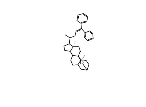 CC(CC=C(c1ccccc1)c1ccccc1)C1CCC2C3CCC4CC5CC[C@]4(C)[C@]3(CC[C@]12C)O5